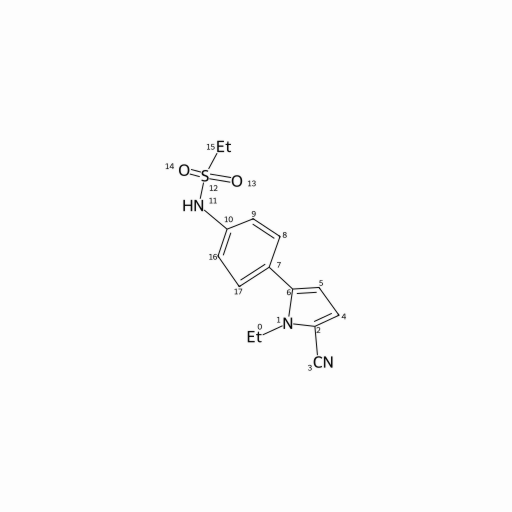 CCn1c(C#N)ccc1-c1ccc(NS(=O)(=O)CC)cc1